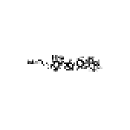 COCCOc1cc2[nH]nc(-c3cc(-c4ccc(N5CC[C@H]6[C@@H]5CCN6C)cc4)no3)c2cc1F